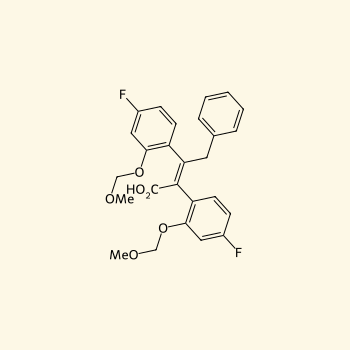 COCOc1cc(F)ccc1C(Cc1ccccc1)=C(C(=O)O)c1ccc(F)cc1OCOC